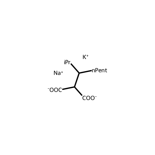 CCCCCC(C(C)C)C(C(=O)[O-])C(=O)[O-].[K+].[Na+]